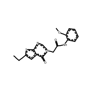 CCc1cc2c(=O)n(CC(=O)Nc3ccccc3OC)cnc2s1